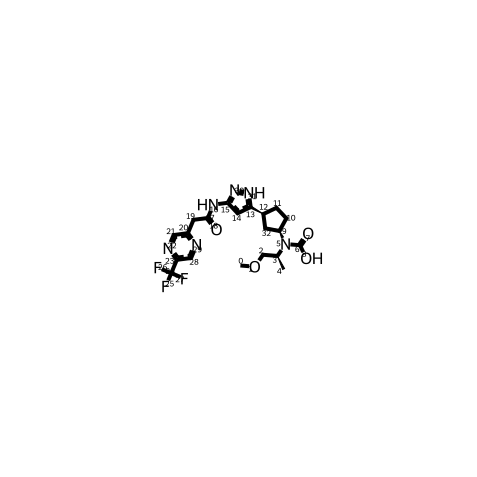 COC[C@H](C)N(C(=O)O)[C@@H]1CC[C@H](c2cc(NC(=O)Cc3cnc(C(F)(F)F)cn3)n[nH]2)C1